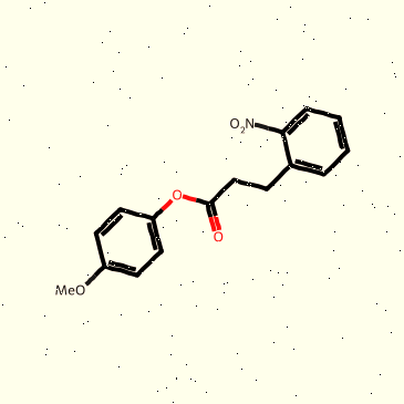 COc1ccc(OC(=O)CCc2ccccc2[N+](=O)[O-])cc1